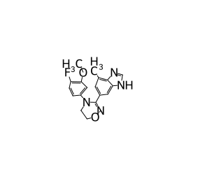 COc1cc(N2CCON=C2c2cc(C)c3nc[nH]c3c2)ccc1F